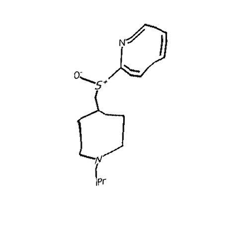 CC(C)N1CCC([S+]([O-])c2ccccn2)CC1